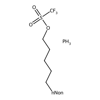 CCCCCCCCCCCCCCOS(=O)(=O)C(F)(F)F.P